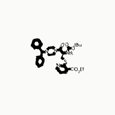 CCOC(=O)c1cccnc1SC[C@H](NC(=O)OC(C)(C)C)C(=O)N1CCN(C(c2ccccc2)c2ccccc2)CC1